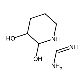 N=CN.OC1CCCNC1O